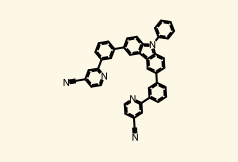 N#Cc1ccnc(-c2cccc(-c3ccc4c(c3)c3cc(-c5cccc(-c6cc(C#N)ccn6)c5)ccc3n4-c3ccccc3)c2)c1